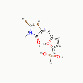 CN1C(=O)/C(=C\c2ccc(S(C)(=O)=O)o2)SC1=S